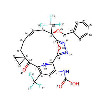 O=C(O)Nc1cc(C(F)(F)F)c2nc1-c1nnc(o1)[C@@](OCc1ccccc1)(C(F)(F)F)CC=CCCC1(CC1)C2=O